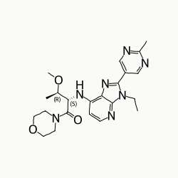 CCn1c(-c2cnc(C)nc2)nc2c(N[C@H](C(=O)N3CCOCC3)[C@@H](C)OC)ccnc21